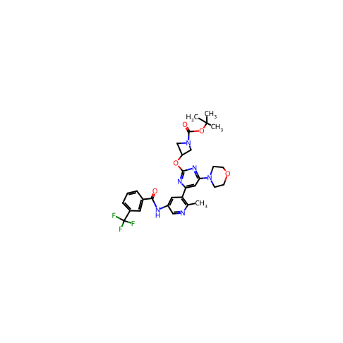 Cc1ncc(NC(=O)c2cccc(C(F)(F)F)c2)cc1-c1cc(N2CCOCC2)nc(OC2CN(C(=O)OC(C)(C)C)C2)n1